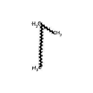 [CH2]CC(CCCCCCCCC)CCCCCCCCCCCCCCCCCCCCCCCCC